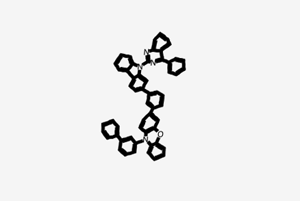 c1ccc(-c2cccc(N3c4ccccc4Oc4cc(-c5cccc(-c6ccc7c8ccccc8n(-c8nc(-c9ccccc9)c9ccccc9n8)c7c6)c5)ccc43)c2)cc1